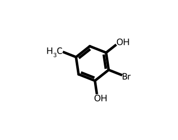 Cc1cc(O)c(Br)c(O)c1